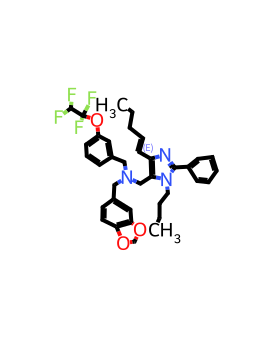 CCC/C=C/c1nc(-c2ccccc2)n(CCCC)c1CN(Cc1cccc(OC(F)(F)C(F)F)c1)Cc1ccc2c(c1)OCO2